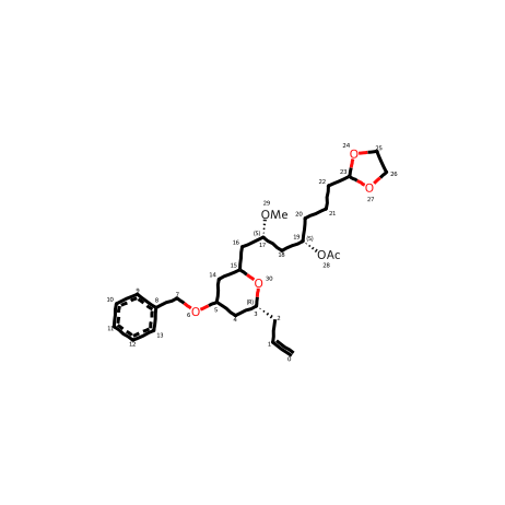 C=CC[C@@H]1CC(OCc2ccccc2)CC(C[C@@H](C[C@H](CCCC2OCCO2)OC(C)=O)OC)O1